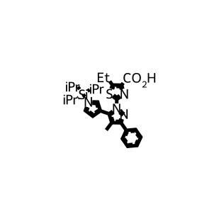 CCc1sc(-n2nc(-c3ccccc3)c(C)c2-c2ccn([Si](C(C)C)(C(C)C)C(C)C)c2)nc1C(=O)O